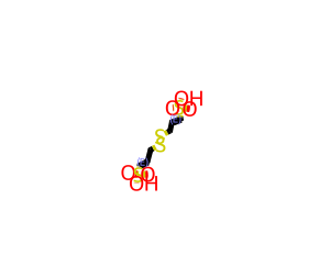 O=S(=O)(O)/C=C/CSSC/C=C/S(=O)(=O)O